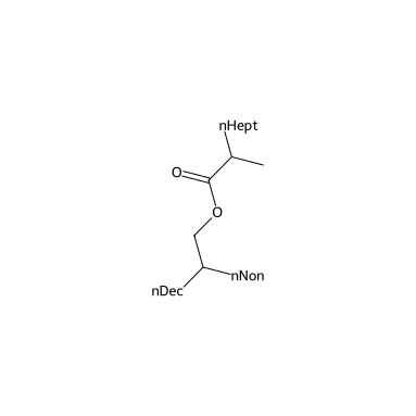 CCCCCCCCCCC(CCCCCCCCC)COC(=O)C(C)CCCCCCC